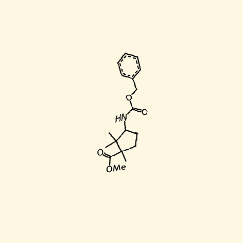 COC(=O)C1(C)CCC(NC(=O)OCc2ccccc2)C1(C)C